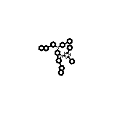 c1ccc(-c2ccc(N(c3cccc(-c4ccc5ccccc5c4)c3)c3ccc4c5ccc(-c6ccc7ccccc7c6)cc5n(-c5nc(-c6ccccc6)nc(-c6ccccc6)n5)c4c3)cc2)cc1